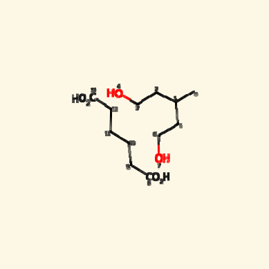 CC(CCO)CCO.O=C(O)CCCCC(=O)O